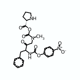 CN(CC(=O)C(Cc1ccccc1)NC(=O)Oc1ccc([N+](=O)[O-])cc1)C(=O)OC(=O)[C@@H]1CCCN1